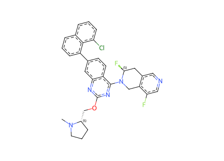 CN1CCC[C@H]1COc1nc(N2Cc3c(F)cncc3C[C@@H]2F)c2ccc(-c3cccc4cccc(Cl)c34)cc2n1